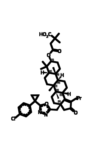 CC(C)C1=C2[C@H]3CC[C@@H]4[C@@]5(C)CC[C@H](OC(=O)CC(C)(C)C(=O)O)C(C)(C)[C@@H]5CC[C@@]4(C)[C@]3(C)CC[C@@]2(Cc2nnc(C3(c4ccc(Cl)cc4)CC3)o2)CC1=O